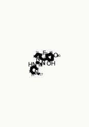 COc1cc(O)c(-c2nnc(N[C@@H]3CCCN(C)C3)n3cccc23)c(F)c1